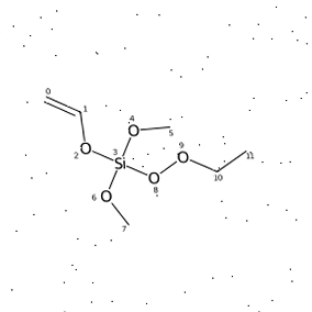 C=CO[Si](OC)(OC)OOCC